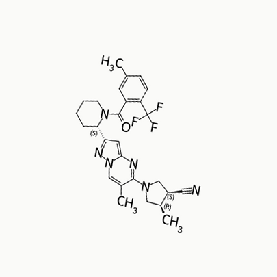 Cc1ccc(C(F)(F)F)c(C(=O)N2CCCC[C@H]2c2cc3nc(N4C[C@@H](C#N)[C@@H](C)C4)c(C)cn3n2)c1